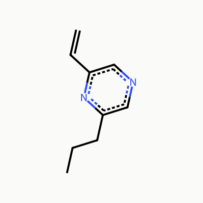 C=Cc1cncc(CCC)n1